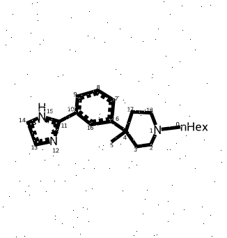 CCCCCCN1CCC(C)(c2cccc(-c3ncc[nH]3)c2)CC1